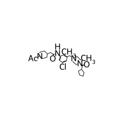 CC(=O)N1CCC(CC(=O)Nc2cc(Cl)cc(CN3CCN(C(=O)C4CCCC4)C(C)C3)c2C)CC1